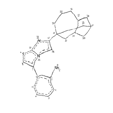 Nc1ccccc1-c1csc2nc(C34CCCC5CC(CC5C3)C4)cn12